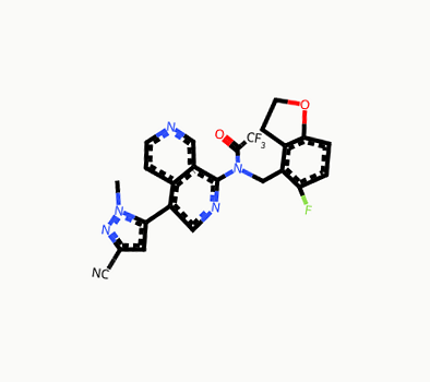 Cn1nc(C#N)cc1-c1cnc(N(Cc2c(F)ccc3c2CCO3)C(=O)C(F)(F)F)c2cnccc12